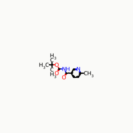 Cc1ccc(C(=O)NC(=O)OC(C)(C)C)cn1